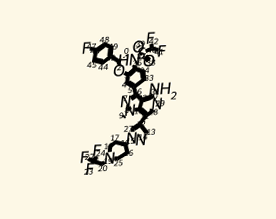 C[C@H](Oc1cc(-c2nn(C)c3c(-c4cnn(C5CCN(CC(F)(F)F)CC5)c4)cnc(N)c23)ccc1NS(=O)(=O)C(F)F)c1ccc(F)cc1